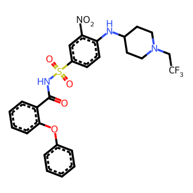 O=C(NS(=O)(=O)c1ccc(NC2CCN(CC(F)(F)F)CC2)c([N+](=O)[O-])c1)c1ccccc1Oc1ccccc1